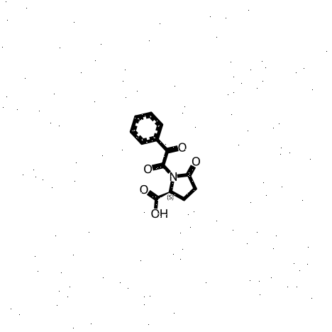 O=C(C(=O)N1C(=O)CC[C@H]1C(=O)O)c1ccccc1